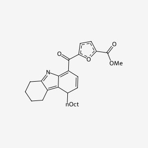 CCCCCCCCC1C=CC(C(=O)c2ccc(C(=O)OC)o2)=C2N=C3CCCCC3=C21